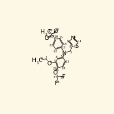 CCOc1cc(N(Cc2cncs2)c2ccc(S(C)(=O)=O)cc2)ccc1OC(F)F